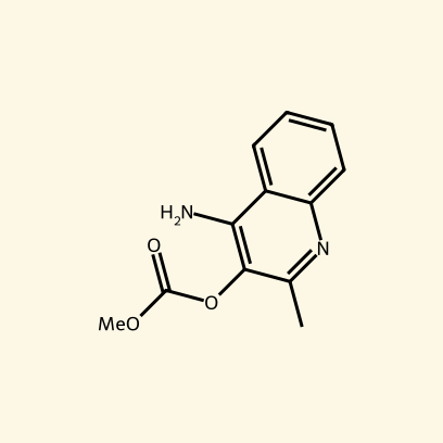 COC(=O)Oc1c(C)nc2ccccc2c1N